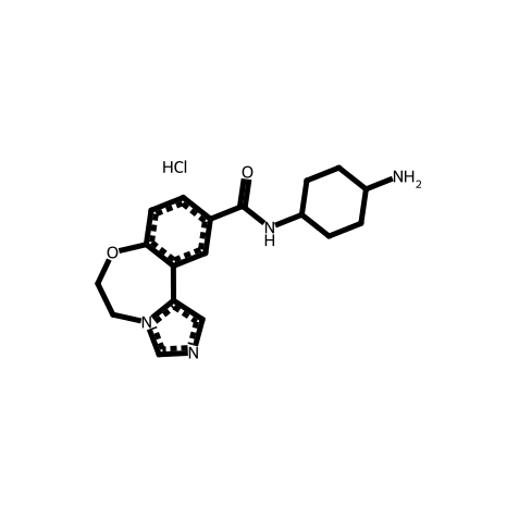 Cl.NC1CCC(NC(=O)c2ccc3c(c2)-c2cncn2CCO3)CC1